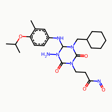 Cc1cc(NC2N(N)C(=O)N(CCC(=O)N=O)C(=O)N2CC2CCCCC2)ccc1OC(C)C